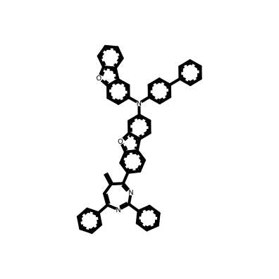 C=C1C=C(c2ccccc2)N=C(c2ccccc2)N=C1c1ccc2c(c1)oc1cc(N(c3ccc(-c4ccccc4)cc3)c3ccc4oc5ccccc5c4c3)ccc12